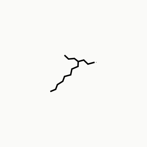 [CH2]CCC(CCC)CCCCCCCC